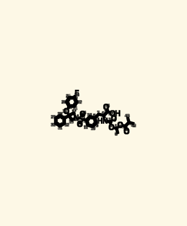 CC(OC(=O)NC(Cc1cccc(S(=O)(=O)N2CC(Oc3ccc(F)cc3)(c3ccccc3)C2)c1)C(=O)O)OC(=O)C(C)C